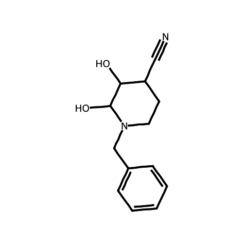 N#CC1CCN(Cc2ccccc2)C(O)C1O